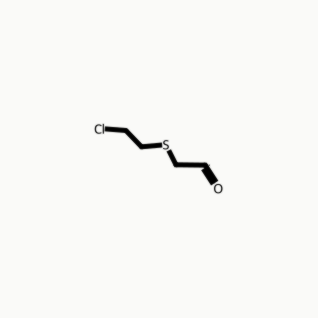 O=[C]CSCCCl